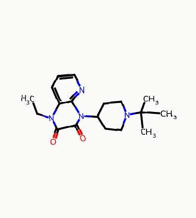 CCn1c(=O)c(=O)n(C2CCN(C(C)(C)C)CC2)c2ncccc21